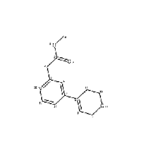 COC(=O)Cc1cc(C2=CCOCC2)ccn1